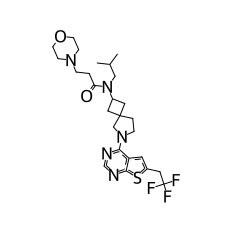 CC(C)CN(C(=O)CCN1CCOCC1)C1CC2(CCN(c3ncnc4sc(CC(F)(F)F)cc34)C2)C1